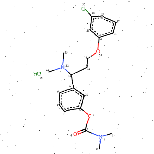 CN(C)C(=O)Oc1cccc(C(CCOc2cccc(Cl)c2)N(C)C)c1.Cl